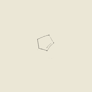 C1=CCCC1.[Fe]